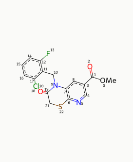 COC(=O)c1cnc2c(c1)N(Cc1c(F)cccc1Cl)C(=O)CS2